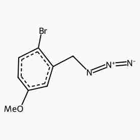 COc1ccc(Br)c(CN=[N+]=[N-])c1